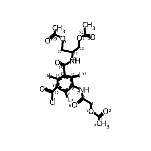 CC(=O)OCC(=O)Nc1c(I)c(C(=O)Cl)c(I)c(C(=O)NC(COC(C)=O)COC(C)=O)c1I